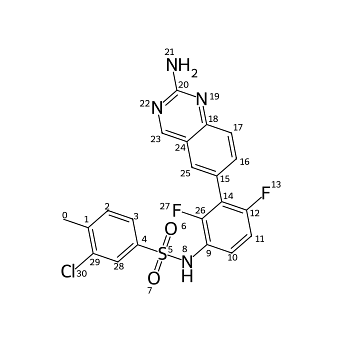 Cc1ccc(S(=O)(=O)Nc2ccc(F)c(-c3ccc4nc(N)ncc4c3)c2F)cc1Cl